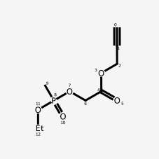 C#CCOC(=O)COP(C)(=O)OCC